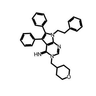 N=c1c2c(-c3ccccc3)c(-c3ccccc3)n(CCc3ccccc3)c2ncn1CC1CCOCC1